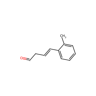 Cc1ccccc1/C=C/C[C]=O